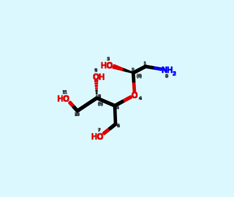 NC[C@H](O)OC(CO)[C@@H](O)CO